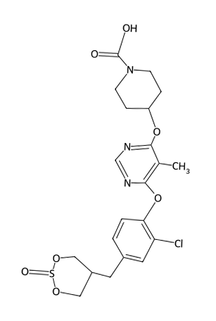 Cc1c(Oc2ccc(CC3COS(=O)OC3)cc2Cl)ncnc1OC1CCN(C(=O)O)CC1